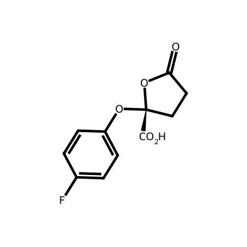 O=C1CC[C@@](Oc2ccc(F)cc2)(C(=O)O)O1